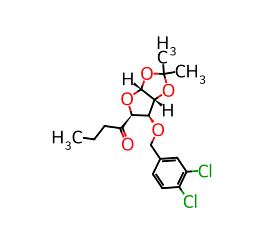 CCCC(=O)[C@H]1O[C@@H]2OC(C)(C)O[C@@H]2[C@H]1OCc1ccc(Cl)c(Cl)c1